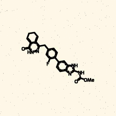 COC(=O)Nc1nc2ccc(-c3ccc(Cc4n[nH]c(=O)c5c4=CCCC=5)cc3F)cc2[nH]1